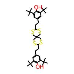 CC(C)(C)c1cc(CCC2SCC3(CS2)CSC(CCc2cc(C(C)(C)C)c(O)c(C(C)(C)C)c2)SC3)cc(C(C)(C)C)c1O